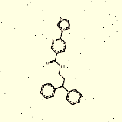 O=C(NCCC(c1ccccc1)c1ccccc1)c1ccc(-n2cncn2)nc1